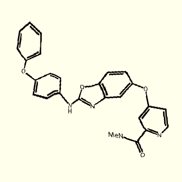 CNC(=O)c1cc(Oc2ccc3oc(Nc4ccc(Oc5ccccc5)cc4)nc3c2)ccn1